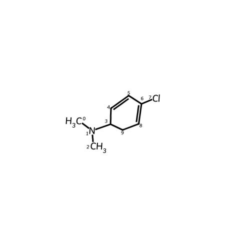 CN(C)C1C=CC(Cl)=CC1